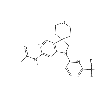 CC(=O)Nc1cc2c(cn1)C1(CCOCC1)CN2c1cccc(C(C)(F)F)n1